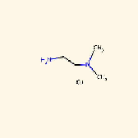 CN(C)CCN.[Cu]